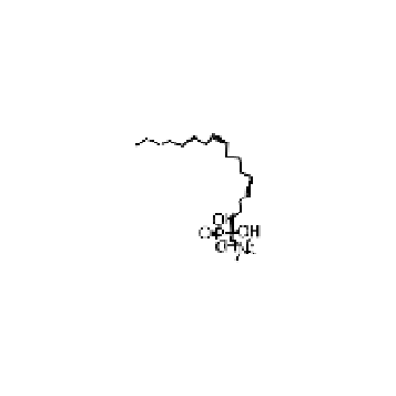 CCCCCCC/C=C\CCC/C=C\CCCC(O)(C[N+](C)(C)C)P(=O)(O)O